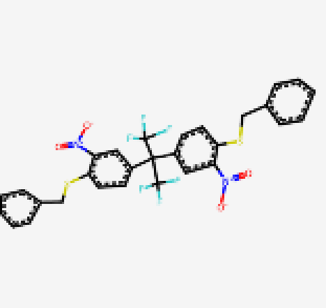 O=[N+]([O-])c1cc(C(c2ccc(SCc3ccccc3)c([N+](=O)[O-])c2)(C(F)(F)F)C(F)(F)F)ccc1SCc1ccccc1